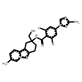 Cc1ccc2c3c(nn2c1)CCC(CO)(NC(=O)c1c(Cl)cc(-n2cnc(C)n2)cc1Cl)C3